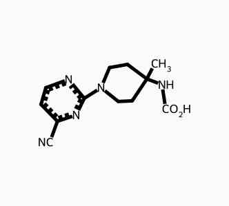 CC1(NC(=O)O)CCN(c2nccc(C#N)n2)CC1